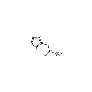 C[C@H](Cc1cccs1)C(=O)O